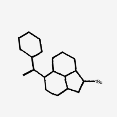 CC(C1CCCCC1)C1CCC2CC(C(C)(C)C)C3CCCC1C23